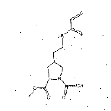 C=CC(=O)NCCC1CC(C(=O)OC)N(C(=O)O)C1